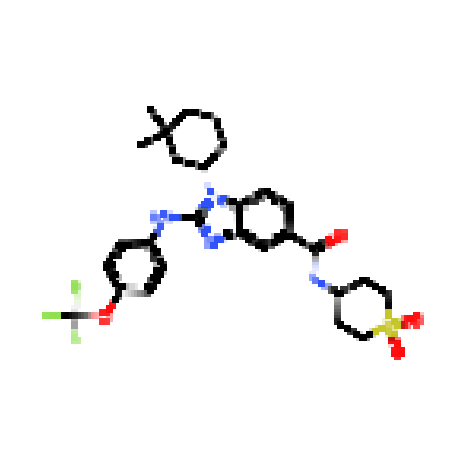 CC1(C)CCC[C@H](n2c(Nc3ccc(OC(F)(F)F)cc3)nc3cc(C(=O)NC4CCS(=O)(=O)CC4)ccc32)C1